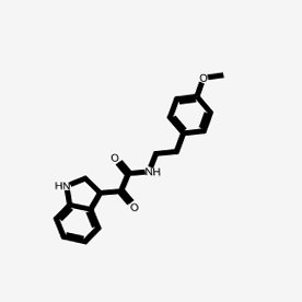 COc1ccc(CCNC(=O)C(=O)C2CNc3ccccc32)cc1